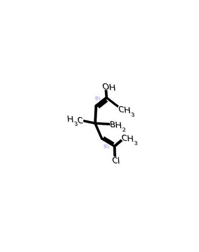 BC(C)(/C=C(\C)O)/C=C(\C)Cl